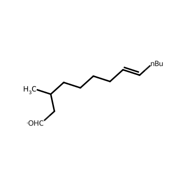 CCCCC=CCCCCC(C)C[C]=O